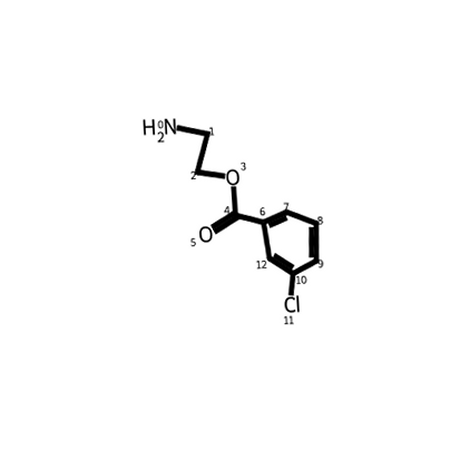 NCCOC(=O)c1cccc(Cl)c1